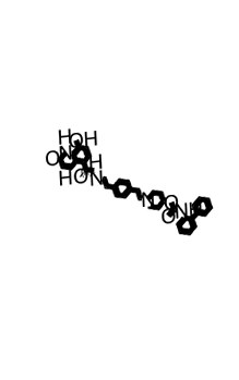 O=C(Nc1ccccc1-c1ccccc1)OC1CCN(CCc2ccc(CCNC[C@H](O)c3ccc(O)c4[nH]c(=O)ccc34)cc2)CC1